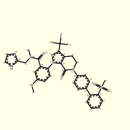 COc1ccc(-n2nc(C(F)(F)F)c3c2C(=O)N(c2ccc(-c4ccccc4S(C)(=O)=O)cc2)CC3)c(C(=O)N(C)Cc2ncc[nH]2)c1